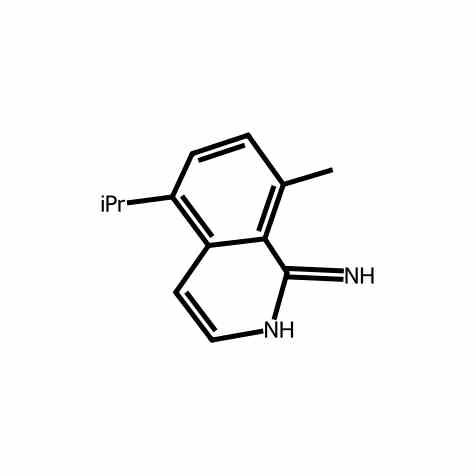 Cc1ccc(C(C)C)c2cc[nH]c(=N)c12